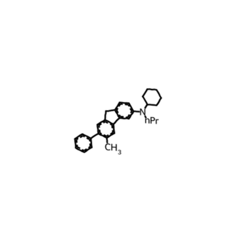 CCCN(c1ccc2c(c1)-c1cc(C)c(-c3ccccc3)cc1C2)C1CCCCC1